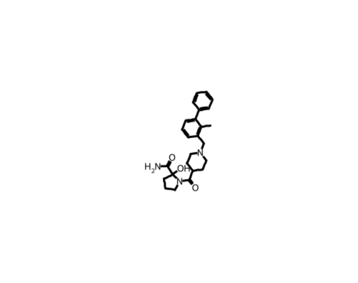 Cc1c(CN2CCC(C(=O)N3CCCC3(O)C(N)=O)CC2)cccc1-c1ccccc1